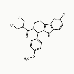 CCN(CC)C(=O)N1CCc2c([nH]c3ccc(Cl)cc23)C1c1ccc(OC)cc1